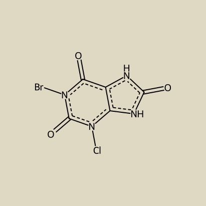 O=c1[nH]c2c(=O)n(Br)c(=O)n(Cl)c2[nH]1